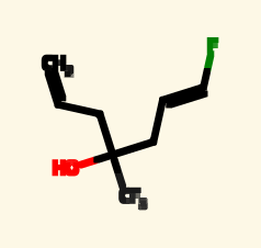 C=CCC(O)(CC=CF)C(F)(F)F